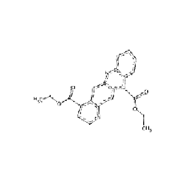 CCOC(=O)c1ccnc2cc3c(C(=O)OCC)c4ccccc4nc3cc12